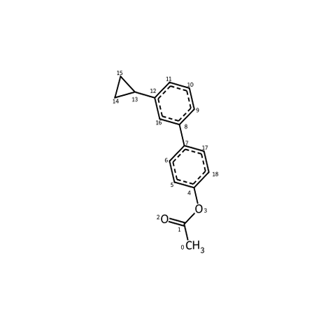 CC(=O)Oc1ccc(-c2cccc(C3CC3)c2)cc1